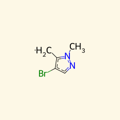 [CH2]c1c(Br)cnn1C